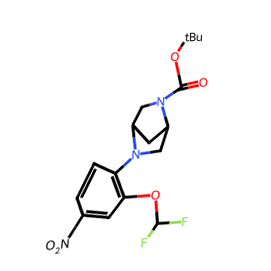 CC(C)(C)OC(=O)N1CC2CC1CN2c1ccc([N+](=O)[O-])cc1OC(F)F